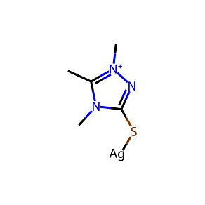 Cc1n(C)c([S][Ag])n[n+]1C